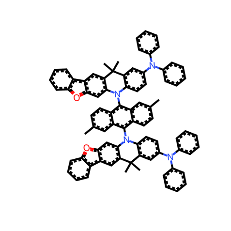 Cc1ccc2c(N3c4ccc(N(c5ccccc5)c5ccccc5)cc4C(C)(C)c4cc5c(cc43)oc3ccccc35)c3cc(C)ccc3c(N3c4ccc(N(c5ccccc5)c5ccccc5)cc4C(C)(C)c4cc5c(cc43)oc3ccccc35)c2c1